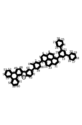 Cc1cc(-c2ccc3ccc4c(-c5cc(-c6ccccc6)cc(-c6ccccc6)c5)ccc5ccc2c3c54)ccc1-c1ccc2oc3c(ccc4c5ccccc5c5ccccc5c43)c2c1